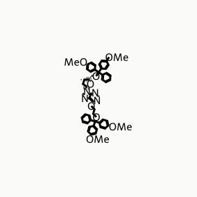 COc1ccc(C(OCCOc2ncnc3c2ncn3[C@H]2C[CH][C@H](COC(c3ccccc3)(c3ccc(OC)cc3)c3ccc(OC)cc3)O2)(c2ccccc2)c2ccc(OC)cc2)cc1